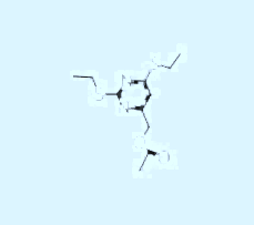 CCSc1cc(COC(C)=O)nc(SCC)n1